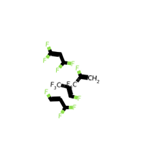 C=C(F)C(F)(F)F.FC(F)=CC(F)F.FC=CC(F)(F)F.FC=CC(F)F